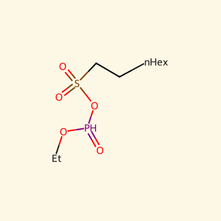 CCCCCCCCS(=O)(=O)O[PH](=O)OCC